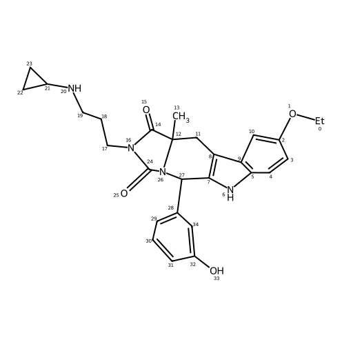 CCOc1ccc2[nH]c3c(c2c1)CC1(C)C(=O)N(CCCNC2CC2)C(=O)N1C3c1cccc(O)c1